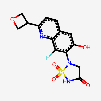 O=C1CN(c2c(O)cc3ccc(C4COC4)nc3c2F)S(=O)(=O)N1